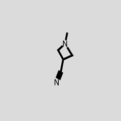 CN1CC(C#N)C1